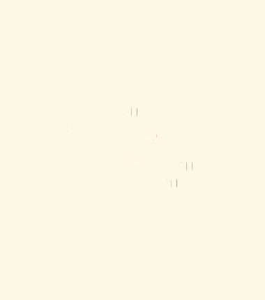 CC(=CCCl)C1OCC(C)(C)CO1